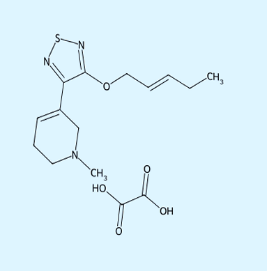 CCC=CCOc1nsnc1C1=CCCN(C)C1.O=C(O)C(=O)O